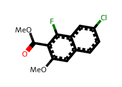 COC(=O)c1c(OC)cc2ccc(Cl)cc2c1F